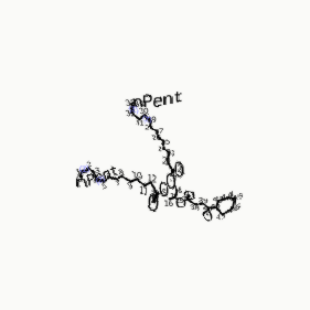 CCCCC/C=C\C/C=C\CCCCCCCC(=O)OCC(COC(=O)CCCCCCC/C=C\C/C=C\CCCCC)OC(=O)CCC(=O)C1CCCCC1